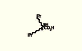 CC(C)CCCCCSC(S)(CCCCCC(C)C)C(=O)O